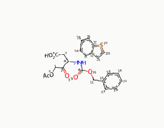 CC(=O)OCC(=O)C(CC(=O)O)NC(=O)OCc1ccccc1.c1ccc2sccc2c1